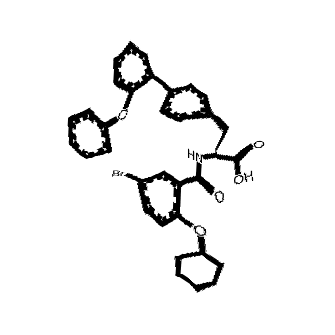 O=C(N[C@@H](Cc1ccc(-c2ccccc2Oc2ccccc2)cc1)C(=O)O)c1cc(Br)ccc1OC1CCCCC1